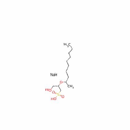 CCCCCCCCC(C)OC(CO)CS(=O)(=O)O.[NaH]